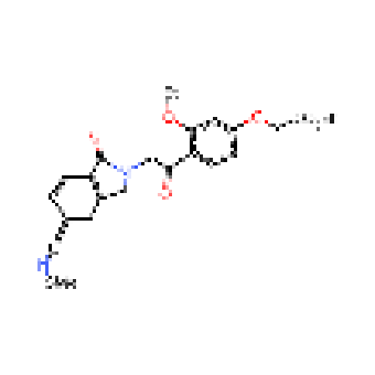 CCOC(=O)COc1ccc(C(=O)CN2CC3=C(C=CC(=C=NSC)C3)C2=O)c(OCC)c1